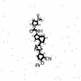 CC(C)Oc1ccc(-c2nnc(-c3cccc4c3CCC4NC(=O)N3CC[C@@H](N(C)C)C3)s2)cc1C#N